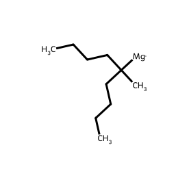 CCCC[C](C)([Mg])CCCC